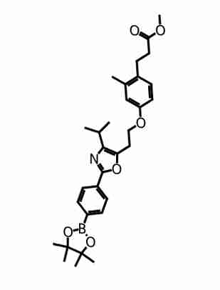 COC(=O)CCc1ccc(OCCc2oc(-c3ccc(B4OC(C)(C)C(C)(C)O4)cc3)nc2C(C)C)cc1C